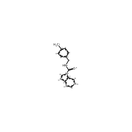 Cc1ccc(CNC(=O)n2cnc3ncncc32)cc1